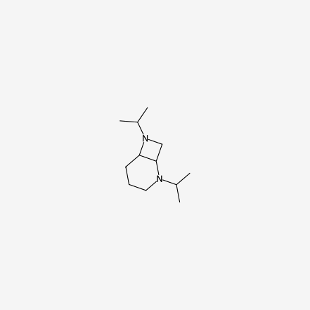 CC(C)N1CCCC2C1CN2C(C)C